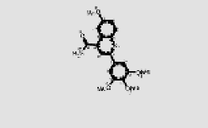 COc1ccc2nc(-c3cc(OC)c(OC)c(OC)c3)cc(C(N)=O)c2c1